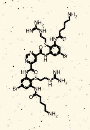 N=C(N)NCCSc1c(NC(=O)CCCCN)cc(Br)cc1NC(=O)c1cc(C(=O)Nc2cc(Br)cc(NC(=O)CCCCN)c2SCCNC(=N)N)ncn1